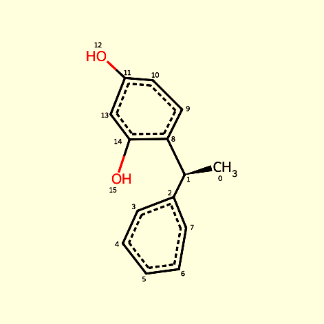 C[C@@H](c1ccccc1)c1ccc(O)cc1O